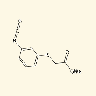 COC(=O)CSc1cccc(N=C=O)c1